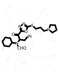 CC(C)CC(C(=O)c1nnc(SCCCN2CCCC2)o1)N(C=O)C1CCCCC1